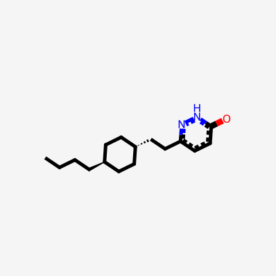 CCCC[C@H]1CC[C@H](CCc2ccc(=O)[nH]n2)CC1